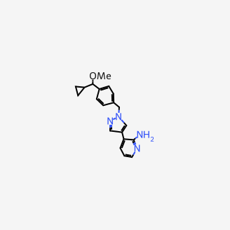 COC(c1ccc(Cn2cc(-c3cccnc3N)cn2)cc1)C1CC1